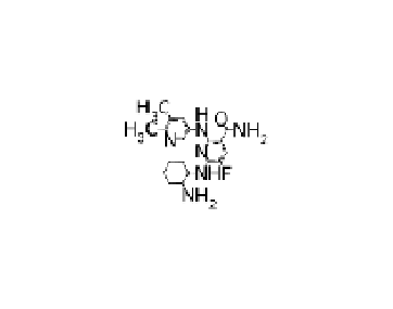 Cc1cc(Nc2nc(NC3CCCCC3N)c(F)cc2C(N)=O)cnc1C